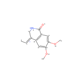 C/C=C1\CNC(=O)c2cc(OC)c(OC)cc21